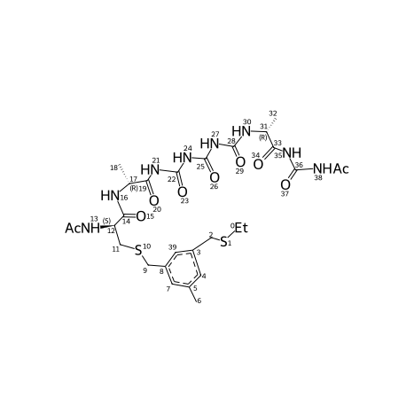 CCSCc1cc(C)cc(CSC[C@@H](NC(C)=O)C(=O)N[C@H](C)C(=O)NC(=O)NC(=O)NC(=O)N[C@H](C)C(=O)NC(=O)NC(C)=O)c1